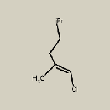 CC(=CCl)CCC(C)C